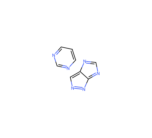 C1=NC2=CN=NC2=N1.c1cncnc1